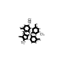 CC1=[C]([Ti+3])CC([Si](c2cccc(C)c2)(c2cccc(C)c2)c2cccc(C)c2)=C1C.[Cl-].[Cl-].[Cl-]